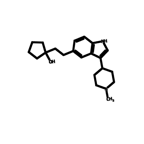 CN1CCC(c2c[nH]c3ccc(CCC4(O)CCCC4)cc23)CC1